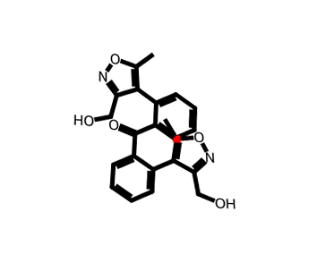 Cc1onc(CO)c1-c1ccccc1C(=O)c1ccccc1-c1c(CO)noc1C